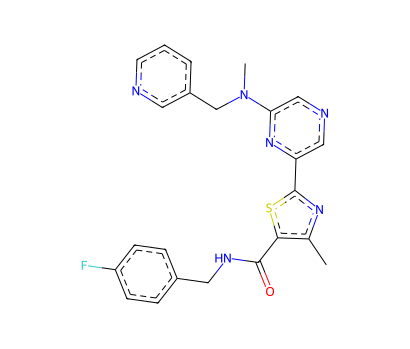 Cc1nc(-c2cncc(N(C)Cc3cccnc3)n2)sc1C(=O)NCc1ccc(F)cc1